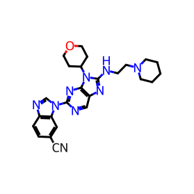 N#Cc1ccc2ncn(-c3ncc4nc(NCCN5CCCCC5)n(C5CCOCC5)c4n3)c2c1